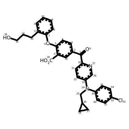 O=C(c1ccc(Oc2ccccc2CCCO)c(C(=O)O)c1)c1ccc(N(CC2CC2)c2ccc(Cl)cc2)cn1